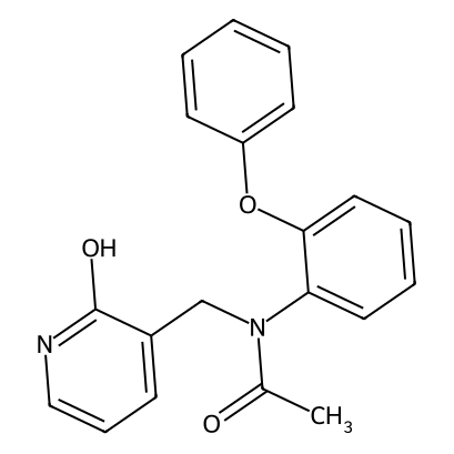 CC(=O)N(Cc1cccnc1O)c1ccccc1Oc1ccccc1